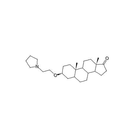 C[C@]12CC[C@H](OCCN3CCCC3)CC1CCC1C2CC[C@]2(C)C(=O)CCC12